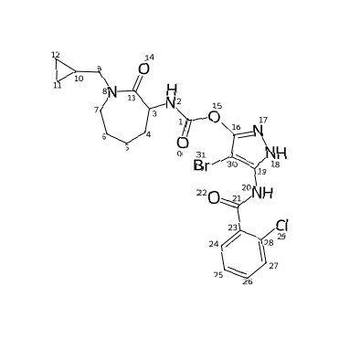 O=C(NC1CCCCN(CC2CC2)C1=O)Oc1n[nH]c(NC(=O)c2ccccc2Cl)c1Br